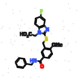 COc1ccc(C(=O)NCc2ccccc2)cc1CSc1nc2cc(F)ccc2n1CC(=O)O